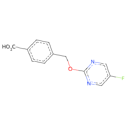 O=C(O)c1ccc(COc2ncc(F)cn2)cc1